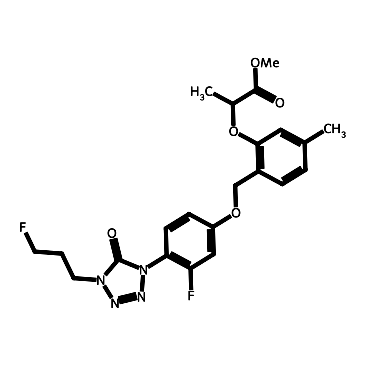 COC(=O)C(C)Oc1cc(C)ccc1COc1ccc(-n2nnn(CCCF)c2=O)c(F)c1